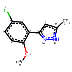 CCCOc1ccc(Cl)cc1-c1cc(C(F)(F)F)[nH]n1